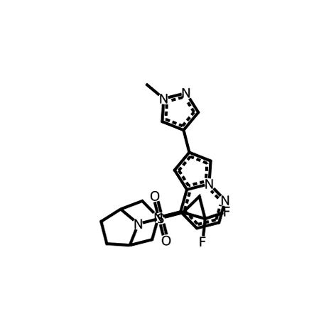 Cn1cc(-c2cc3c(N4CC5CCC(C4)N5S(=O)(=O)C4CC4(F)F)ccnn3c2)cn1